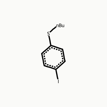 CCCCSc1ccc(I)cc1